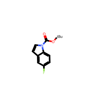 CC(C)(C)OC(=O)n1[c]cc2cc(F)ccc21